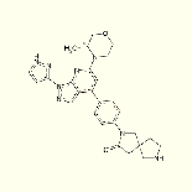 C[C@@H]1COCCN1c1cc(-c2ccc(N3CC4(CCNC4)CC3=O)cc2)c2cnn(-c3cc[nH]n3)c2n1